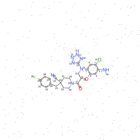 CNc1cc2c(cc1Cl)N(c1nn[nH]n1)CC(C(=O)N1CCC(C#N)(Cc3ccc(F)cc3)CC1)O2